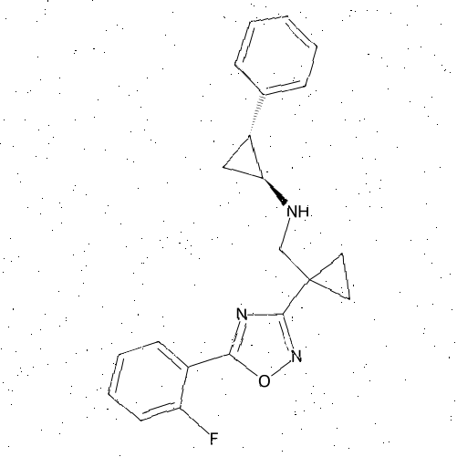 Fc1ccccc1-c1nc(C2(CN[C@H]3C[C@@H]3c3ccccc3)CC2)no1